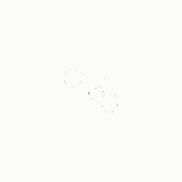 Brn1c(-c2ccccc2)cc2ccccc21